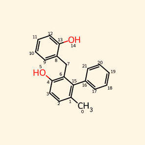 Cc1ccc(O)c(Cc2ccccc2O)c1-c1ccccc1